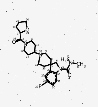 CN(C)C(=O)N1CC2(CCN(C3CCN(C(=O)[C@H]4CCCO4)CC3)CC2)c2cc(F)ccc21